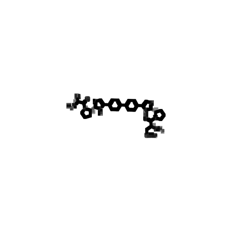 CC[C@H](N)C(=O)N1CCC[C@H]1c1ncc(-c2ccc(-c3ccc(-c4cnc([C@@H]5CCCN5C(=O)[C@@H](N)COC)[nH]4)cc3)cc2)[nH]1